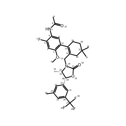 COc1cc(F)c(NC(C)=O)cc1C1=C(CN2C(=O)O[C@H](c3cc(C)cc(C(F)(F)F)c3)[C@@H]2C)CC(C)(C)CC1